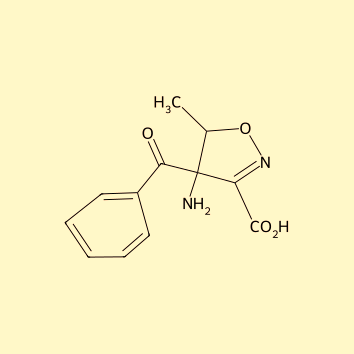 CC1ON=C(C(=O)O)C1(N)C(=O)c1ccccc1